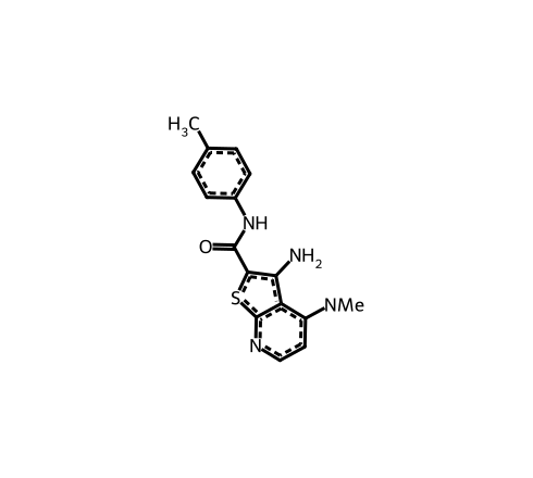 CNc1ccnc2sc(C(=O)Nc3ccc(C)cc3)c(N)c12